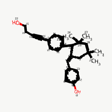 CC1(C)CC(=Cc2ccc(O)cc2)C(c2ccc(C#CCCO)cc2)C(C)(C)C1